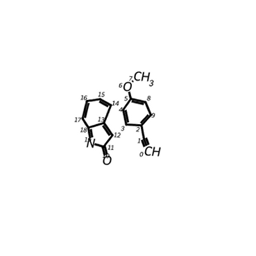 C#Cc1ccc(OC)cc1.O=C1C=c2ccccc2=N1